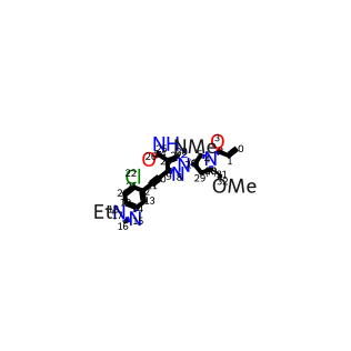 C=CC(=O)N1C[C@@H](n2nc(C#Cc3cc4ncn(CC)c4cc3Cl)c(C(N)=O)c2NC)C[C@@H]1COC